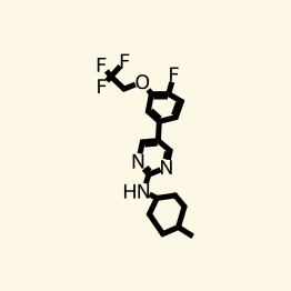 CC1CCC(Nc2ncc(-c3ccc(F)c(OCC(F)(F)F)c3)cn2)CC1